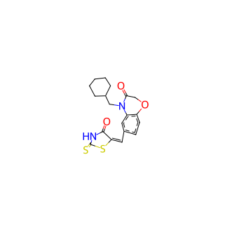 O=C1NC(=S)SC1=Cc1ccc2c(c1)N(CC1CCCCC1)C(=O)CO2